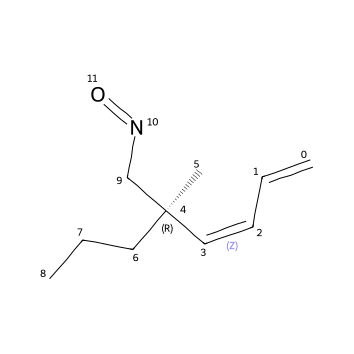 C=C/C=C\[C@@](C)(CCC)CN=O